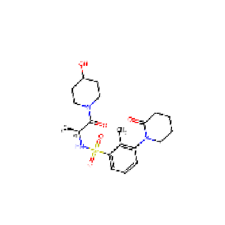 [CH2][C@H](NS(=O)(=O)c1cccc(N2CCCCC2=O)c1C)C(=O)N1CCC(O)CC1